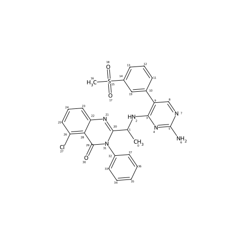 CC(Nc1nc(N)ncc1-c1cccc(S(C)(=O)=O)c1)c1nc2cccc(Cl)c2c(=O)n1-c1ccccc1